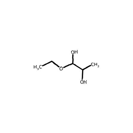 CCOC(O)C(C)O